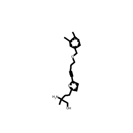 Cc1ccc(COCCC#Cc2ccc(CCC(C)(N)CO)s2)cc1C